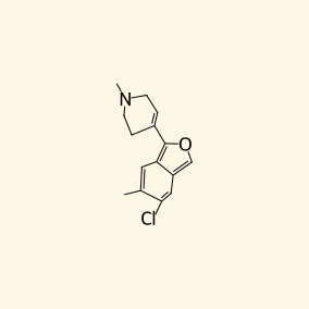 Cc1cc2c(C3=CCN(C)CC3)occ2cc1Cl